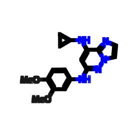 COc1ccc(Nc2cc(NC3CC3)c3nccn3n2)cc1OC